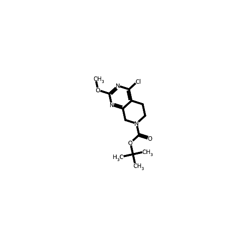 COc1nc(Cl)c2c(n1)CN(C(=O)OC(C)(C)C)CC2